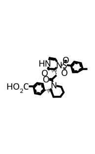 Cc1ccc(S(=O)(=O)N2C=CNC(=O)[C@H]2CC(=O)N2CCCC[C@@H]2c2ccc(C(=O)O)cc2)cc1